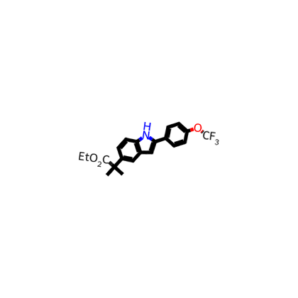 CCOC(=O)C(C)(C)c1ccc2[nH]c(-c3ccc(OC(F)(F)F)cc3)cc2c1